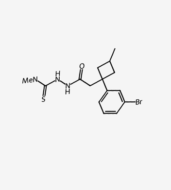 CNC(=S)NNC(=O)CC1(c2cccc(Br)c2)CC(C)C1